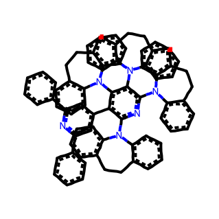 c1ccc(-c2cc(-c3c(N4c5ccccc5CCc5ccccc54)nc(N4c5ccccc5CCc5ccccc54)c(N4c5ccccc5CCc5ccccc54)c3N3c4ccccc4CCc4ccccc43)cc(-c3ccccc3)n2)cc1